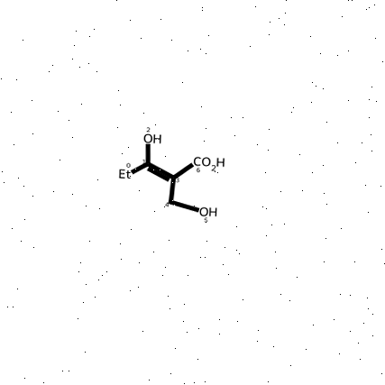 CCC(O)=C(CO)C(=O)O